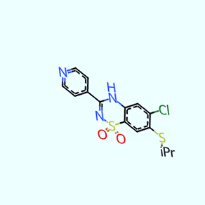 CC(C)Sc1cc2c(cc1Cl)NC(c1ccncc1)=NS2(=O)=O